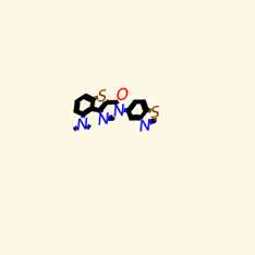 CN(C)c1cccc2sc3c(=O)n(-c4ccc5scnc5c4)cnc3c12